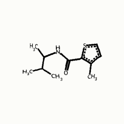 Cc1ccsc1C(=O)NC(C)C(C)C